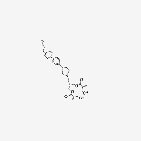 C=C(CO)C(=O)OCC(CCC1CCC(c2ccc(-c3ccc(CCCCC)cc3)cc2)CC1)COC(=O)C(=C)CO